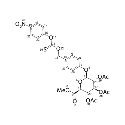 COC(=O)[C@H]1O[C@@H](Oc2ccc(COC(=S)Oc3ccc([N+](=O)[O-])cc3)cc2)[C@H](OC(C)=O)[C@@H](OC(C)=O)[C@@H]1OC(C)=O